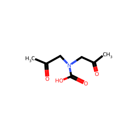 CC(=O)CN(CC(C)=O)C(=O)O